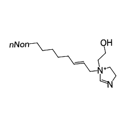 CCCCCCCCCCCCCCC=CC[N+]1(CCO)C=NCC1